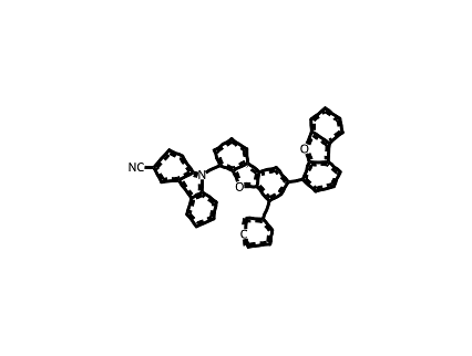 N#Cc1ccc2c(c1)c1ccccc1n2-c1cccc2c1oc1c(-c3ccccc3)cc(-c3cccc4c3oc3ccccc34)cc12